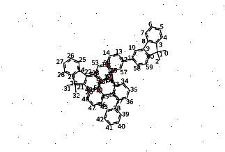 CC1(C)c2ccccc2-c2cc(-c3cccc(N(c4ccc5c(c4)-c4ccccc4C5(C)C)c4cccc(-c5ccccc5)c4-c4ccccc4-c4ccccc4)c3)ccc21